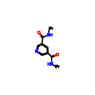 CC(C)NC(=O)c1cncc(C(=O)NC(C)C)c1